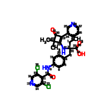 CC[C@@](Cc1ccc(NC(=O)c2c(Cl)cncc2Cl)cc1)(NC1=C(c2cccnc2)C(=O)C1(C)C)C(=O)O